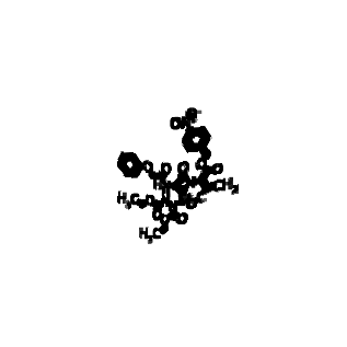 C=C(C)C(C(=O)OCc1ccc([N+](=O)[O-])cc1)N1C(=O)C(NC(=O)COc2ccccc2)C1[S+]([O-])N(NC(=O)OCC)C(=O)OCC